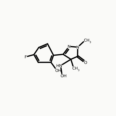 CN1N=C(c2ccc(F)cc2O)C(C)(NO)C1=O